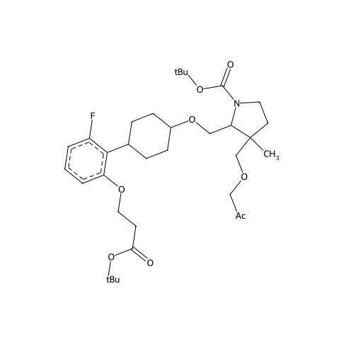 CC(=O)COCC1(C)CCN(C(=O)OC(C)(C)C)C1COC1CCC(c2c(F)cccc2OCCC(=O)OC(C)(C)C)CC1